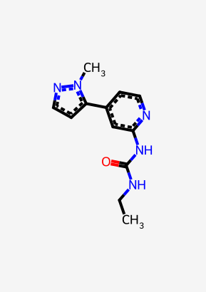 CCNC(=O)Nc1cc(-c2ccnn2C)ccn1